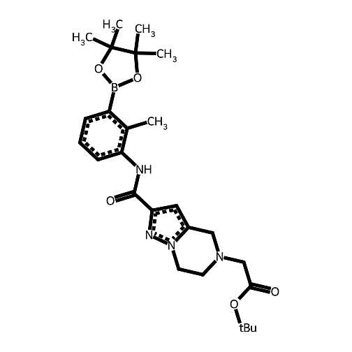 Cc1c(NC(=O)c2cc3n(n2)CCN(CC(=O)OC(C)(C)C)C3)cccc1B1OC(C)(C)C(C)(C)O1